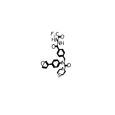 O=C(NNC(=O)C(F)(F)F)c1ccc(CN(C(=O)N2CCSCC2)c2ccc(-c3ccoc3)cc2)cc1